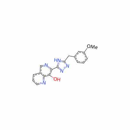 COc1cccc(Cc2nnc(-c3ncc4cccnc4c3O)[nH]2)c1